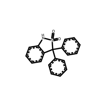 O=S1(=O)Nc2ccccc2C1(c1ccccc1)c1ccccc1